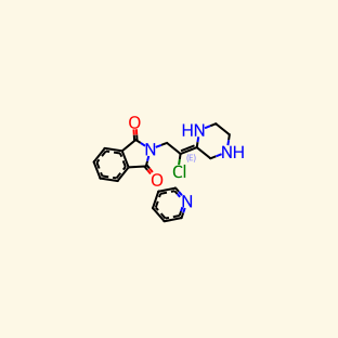 O=C1c2ccccc2C(=O)N1C/C(Cl)=C1/CNCCN1.c1ccncc1